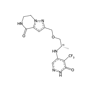 C[C@@H](COCc1cc2n(n1)CCNC2=O)Nc1cn[nH]c(=O)c1C(F)(F)F